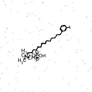 C[N+](C)(C)CC(CCCCCCCCCCCCc1cccc(I)c1)OP(=O)([O-])O